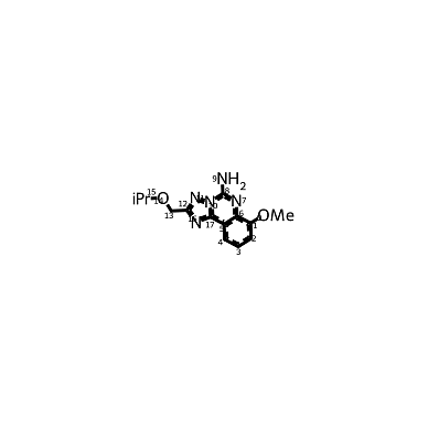 COc1cccc2c1nc(N)n1nc(COC(C)C)nc21